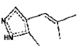 CC(C)=Cc1cn[nH]c1C